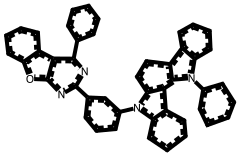 c1ccc(-c2nc(-c3cccc(-n4c5ccccc5c5c4ccc4c6ccccc6n(-c6ccccc6)c45)c3)nc3oc4ccccc4c23)cc1